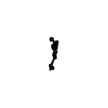 C=CC(=O)OCCCCCCOc1ccc2cc(C(=O)O[C@H]3C(=O)N(CCc4ccccc4)C(=O)[C@@H]3C)ccc2c1